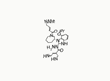 CNC/C=C/C(=O)N1CCCC[C@@H](N2c3c(cccc3OC(C)C)NC2N(N)C(=O)/C(C=N)=C/C=N)C1